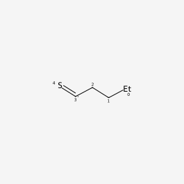 [CH2]CCC[C]=S